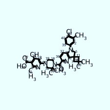 Cc1cc(N2CC3(CC(C)(C)C3)c3nc(C(=O)N4CCN(c5cc(C)c(C(=O)O)c(C)n5)CC4(C)C)ccc32)ccc1Cl